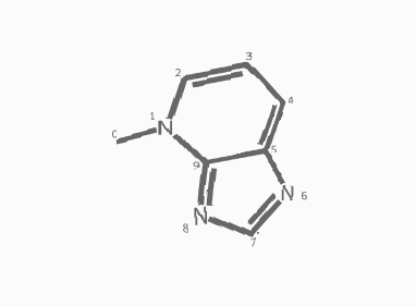 Cn1cccc2n[c]nc1-2